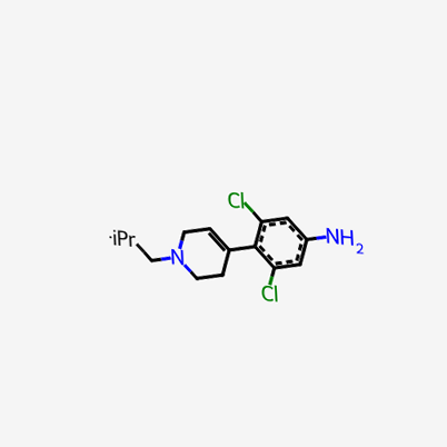 C[C](C)CN1CC=C(c2c(Cl)cc(N)cc2Cl)CC1